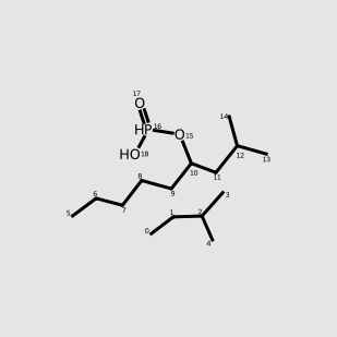 CCC(C)C.CCCCCC(CC(C)C)O[PH](=O)O